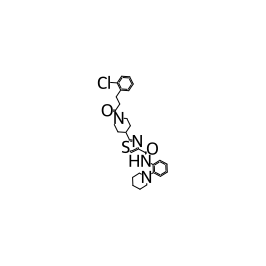 O=C(Nc1ccccc1N1CCCCC1)c1csc(C2CCN(C(=O)CCc3ccccc3Cl)CC2)n1